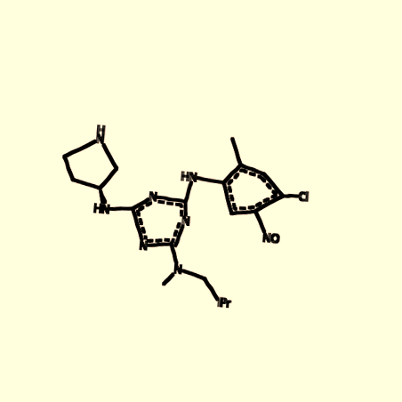 Cc1cc(Cl)c(N=O)cc1Nc1nc(N[C@H]2CCNC2)nc(N(C)CC(C)C)n1